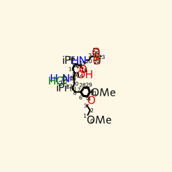 COCCCOc1cc(C[C@@H](C[C@H](N)[C@@H](O)C[C@H](C(=O)NCCS(C)(=O)=O)C(C)C)C(C)C)ccc1OC.Cl